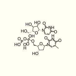 Cc1cn([C@H]2C[C@H](O)[C@@H](COP(=O)(O)OP(=O)(O)O)O2)c(=O)[nH]c1=O.O=c1ccn([C@@H]2O[C@H](CO)[C@@H](O)[C@H]2O)c(=O)[nH]1